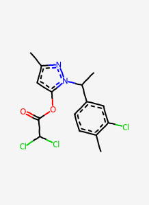 Cc1cc(OC(=O)C(Cl)Cl)n(C(C)c2ccc(C)c(Cl)c2)n1